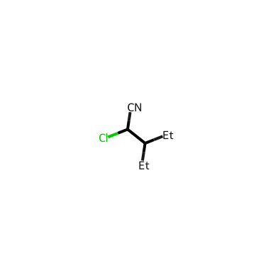 CCC(CC)C(Cl)C#N